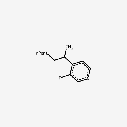 CCCCCCC(C)c1ccncc1F